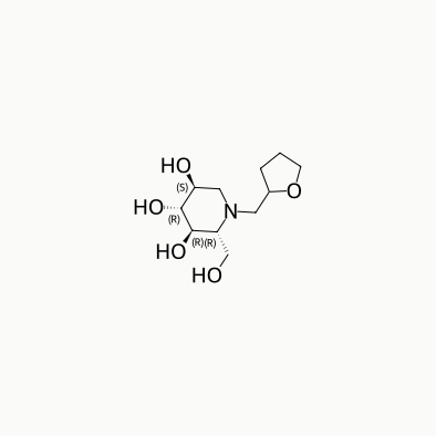 OC[C@@H]1[C@@H](O)[C@H](O)[C@@H](O)CN1CC1CCCO1